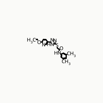 CCOc1ccc(-c2nnc(SCC(=O)Nc3cc(C)cc(C)c3)[nH]2)cn1